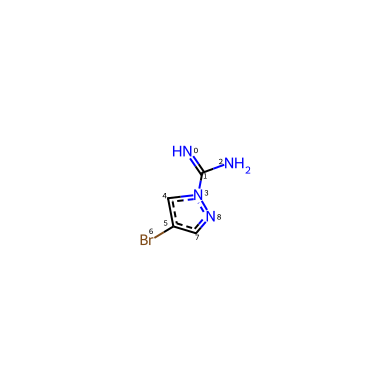 N=C(N)n1cc(Br)cn1